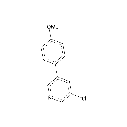 COc1ccc(-c2cncc(Cl)c2)cc1